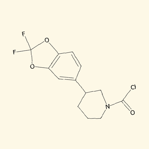 O=C(Cl)N1CCCC(c2ccc3c(c2)OC(F)(F)O3)C1